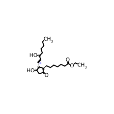 CCCCC[C@H](O)/C=C/[C@H]1[C@H](O)CC(=O)[C@@H]1CCCCCCC(=O)OCC